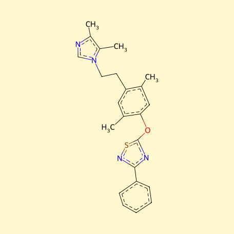 Cc1cc(Oc2nc(-c3ccccc3)ns2)c(C)cc1CCn1cnc(C)c1C